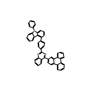 c1ccc(-n2c3ccccc3c3c(-c4ccc(-c5nc(-c6ccc7c8ccccc8c8ccccc8c7c6)c6ccccc6n5)cc4)cccc32)cc1